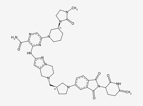 C=C1CCC(N2C(=O)c3ccc(N4CC[C@@H](CN5CCn6nc(Nc7nc(N8CCC[C@H](N9CCN(C)C9=O)C8)cnc7C(N)=O)cc6C5)C4)cc3C2=O)C(=O)N1